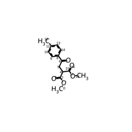 COC(=O)C(CC(=O)c1ccc(C)cc1)C(=O)OC